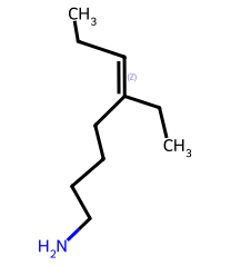 CC/C=C(/CC)CCCCN